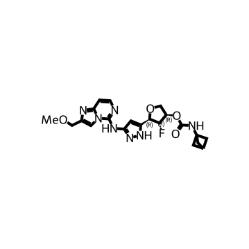 COCc1cn2c(Nc3cc([C@H]4OC[C@@H](OC(=O)NC56CC(C5)C6)[C@@H]4F)[nH]n3)nccc2n1